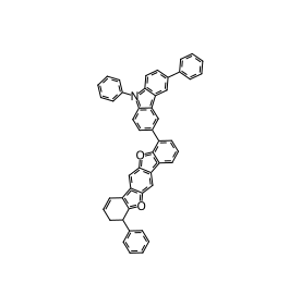 C1=Cc2c(oc3cc4c(cc23)oc2c(-c3ccc5c(c3)c3cc(-c6ccccc6)ccc3n5-c3ccccc3)cccc24)C(c2ccccc2)C1